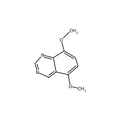 COc1ccc(OC)c2ncncc12